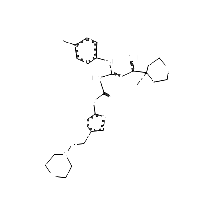 Cc1ccc(N/C(=C\C(=N)C2(C)CCOCC2)NC(=O)Nc2ncc(CCN3CCOCC3)s2)cc1